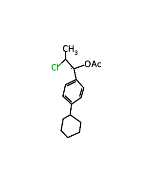 CC(=O)O[C](c1ccc(C2CCCCC2)cc1)C(C)Cl